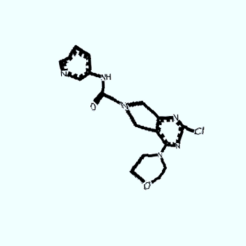 O=C(Nc1cccnc1)N1Cc2nc(Cl)nc(N3CCOCC3)c2C1